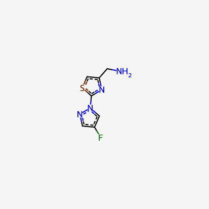 NCc1csc(-n2cc(F)cn2)n1